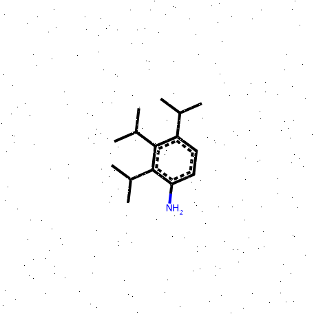 CC(C)c1ccc(N)c(C(C)C)c1C(C)C